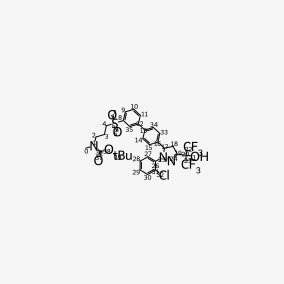 CN(CCCS(=O)(=O)c1cccc(-c2ccc(C3CC(C(O)(C(F)(F)F)C(F)(F)F)=NN3c3ccccc3Cl)cc2)c1)C(=O)OC(C)(C)C